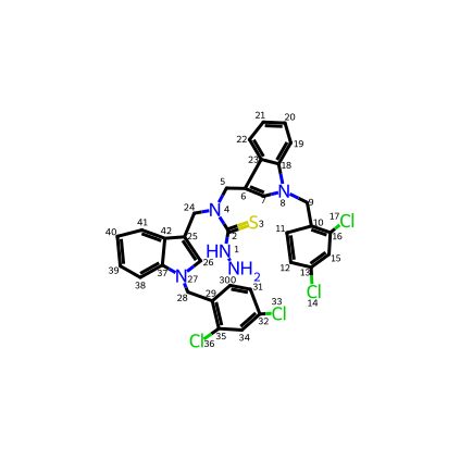 NNC(=S)N(Cc1cn(Cc2ccc(Cl)cc2Cl)c2ccccc12)Cc1cn(Cc2ccc(Cl)cc2Cl)c2ccccc12